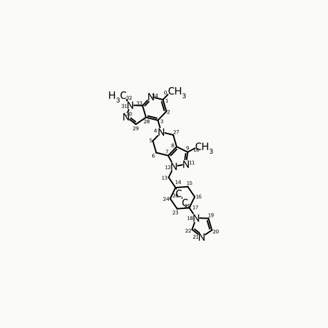 Cc1cc(N2CCc3c(c(C)nn3CC34CCC(n5ccnc5)(CC3)CC4)C2)c2cnn(C)c2n1